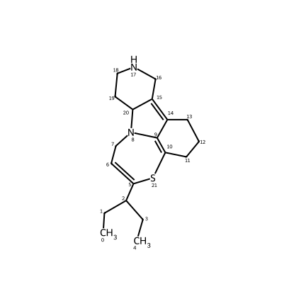 CCC(CC)C1=CCN2C3=C(CCCC3=C3CNCCC32)S1